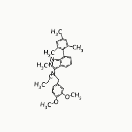 CCCN(Cc1ccc(OC)c(OC)c1)c1c2cccc(-c3c(C)cc(C)cc3C)c2nn1C